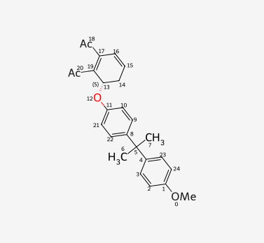 COc1ccc(C(C)(C)c2ccc(O[C@H]3CC=CC(C(C)=O)=C3C(C)=O)cc2)cc1